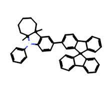 CC12CCCCCC1(C)N(c1ccccc1)c1ccc(-c3ccc4c(c3)C3(c5ccccc5-c5ccccc53)c3ccccc3-4)cc12